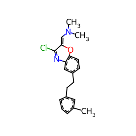 Cc1cccc(CCc2ccc3c(c2)N=C(Cl)/C(=C/N(C)C)O3)c1